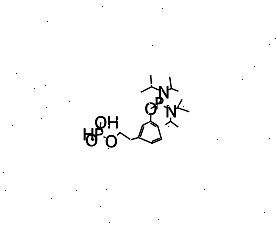 CC(C)N(C(C)C)P(Oc1cccc(CCO[PH](=O)O)c1)N(C(C)C)C(C)C